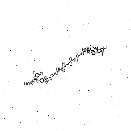 O=C(NCCCCNC(=O)NCCOCCOCCNS(=O)(=O)c1ccc(O[C@H]2c3cc(Cl)cc(F)c3C[C@H]2N2CC[C@@H](O)C2)cc1)NCCOCCOCCNS(=O)(=O)c1ccc(O[C@H]2c3cc(Cl)cc(F)c3C[C@H]2N2CC[C@@H](O)C2)cc1